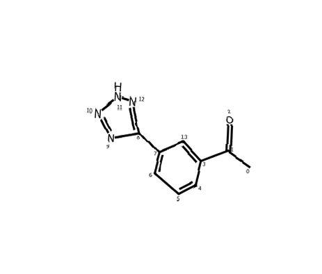 CC(=O)c1cccc(-c2nn[nH]n2)c1